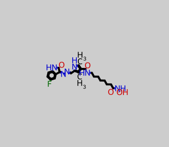 Cc1[nH]c(C=NN=C2C(=O)Nc3ccc(F)cc32)c(C)c1C(=O)NCCCCCCCC(=O)NO